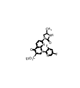 CCOC(=O)c1cn(-c2ncc(F)cc2F)c2nc(N3CC(C)NC3=O)ccc2c1=O